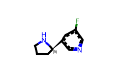 Fc1cncc([C@H]2CCCN2)c1